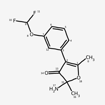 CC1=C(c2cccc(OC(F)F)c2)C(=O)C(C)(N)O1